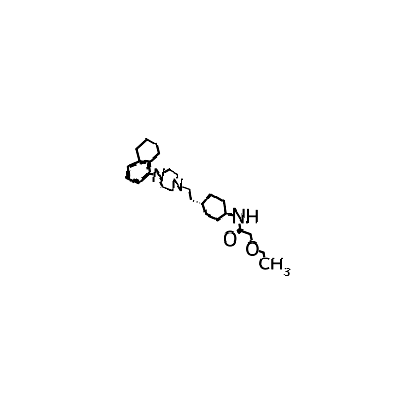 CCOCC(=O)N[C@H]1CC[C@H](CCN2CCN(c3cccc4c3CCCC4)CC2)CC1